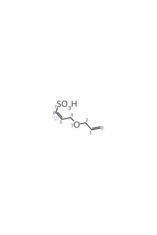 C=CCOC/C=C\S(=O)(=O)O